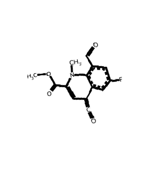 COC(=O)C1=CC(=C=O)c2cc(F)cc(C=O)c2N1C